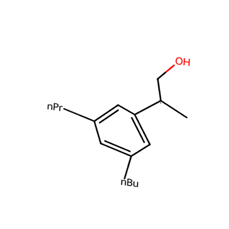 CCCCc1cc(CCC)cc([C](C)CO)c1